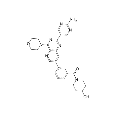 Nc1ncc(-c2nc(N3CCOCC3)c3ncc(-c4cccc(C(=O)N5CCC(O)CC5)c4)cc3n2)cn1